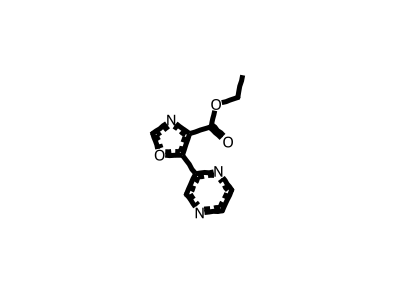 CCOC(=O)c1ncoc1-c1cnccn1